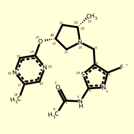 CC(=O)Nc1nc(F)c(CN2C[C@H](Oc3cnc(C)cn3)C[C@@H]2C)s1